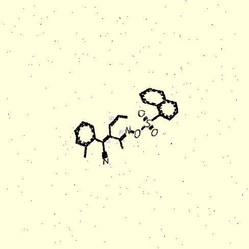 C\C=C/C(=C(/C#N)c1ccccc1C)C(/C)=N/OS(=O)(=O)c1cccc2ccccc12